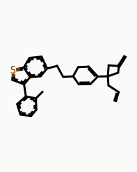 C=CCC1(C2=CCC(CCc3ccc4scc(-c5ccccc5C)c4c3)C=C2)CC(=C)C1